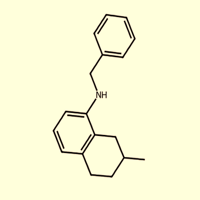 CC1CCc2cccc(NCc3ccccc3)c2C1